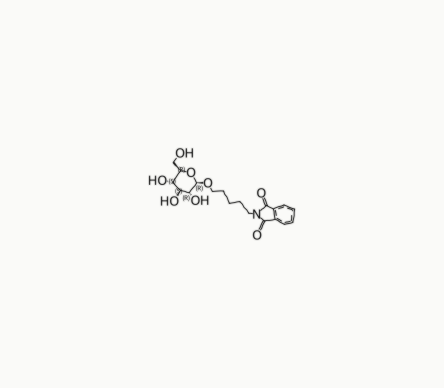 O=C1c2ccccc2C(=O)N1CCCCCO[C@@H]1O[C@H](CO)[C@@H](O)[C@H](O)[C@H]1O